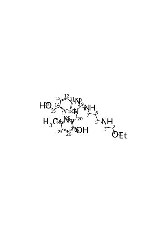 CCOCCNCCCNc1nc2ccc(CO)cc2n1Cc1nc(C)ccc1O